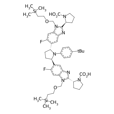 CC(C)(C)c1ccc(N2[C@@H](c3cc4nc([C@H]5CCCN5C(=O)O)n(COCC[Si](C)(C)C)c4cc3F)CC[C@@H]2c2cc3nc([C@@H]4CCCN4C(=O)O)n(COCC[Si](C)(C)C)c3cc2F)cc1